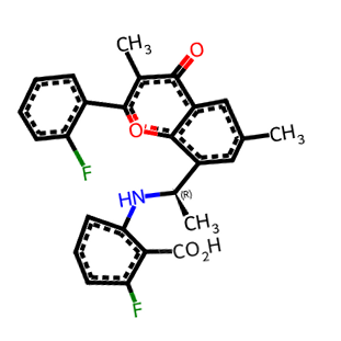 Cc1cc([C@@H](C)Nc2cccc(F)c2C(=O)O)c2oc(-c3ccccc3F)c(C)c(=O)c2c1